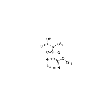 COc1nccnc1S(=O)(=O)N(C)C(=O)O